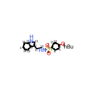 CCCCOc1ccc(S(=O)(=O)NCCc2c[nH]c3ccccc23)cc1